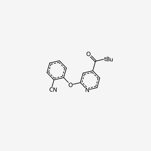 CC(C)(C)C(=O)c1ccnc(Oc2ccccc2C#N)c1